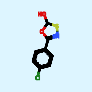 OC1OC(c2ccc(Cl)cc2)=NS1